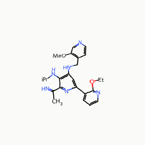 CCOc1ncccc1-c1cc(NCc2ccncc2OC)c(NC(C)C)c(C(C)=N)n1